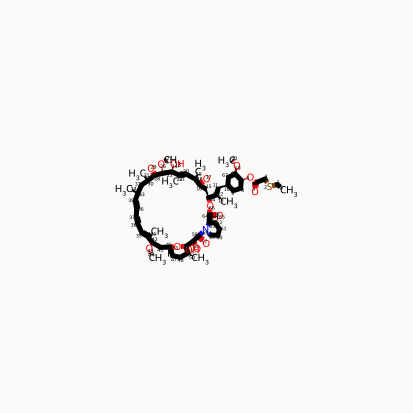 CCSCC(=O)O[C@@H]1CC[C@@H](C[C@@H](C)[C@@H]2CC(=O)[C@H](C)/C=C(\C)[C@@H](O)[C@@H](OC)C(=O)[C@H](C)C[C@H](C)/C=C/C=C/C=C(\C)[C@@H](OC)C[C@@H]3CC[C@@H](C)[C@@](O)(O3)C(=O)C(=O)N3CCCC[C@H]3C(=O)O2)C[C@H]1OC